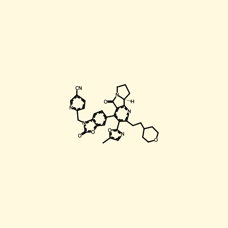 Cc1cnc(-c2c(CCC3CCOCC3)nc3c(c2-c2ccc4c(c2)oc(=O)n4Cc2ccc(C#N)cn2)C(=O)N2CCC[C@@H]32)o1